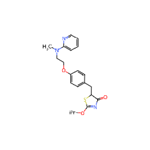 CC(C)OC1=NC(=O)C(Cc2ccc(OCCN(C)c3ccccn3)cc2)S1